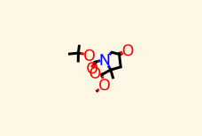 COC(=O)C1(C)CC(=O)CN1C(=O)OC(C)(C)C